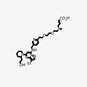 CCc1cnn2c(NCc3ccc(CCOCCOCCN(C)C/C=C/C(=O)O)nc3)cc(N3CCCCC3CCO)nc12